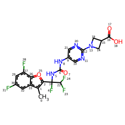 Cc1c(C(F)(NC(=O)Nc2cnc(N3CC(C(=O)O)C3)nc2)C(F)F)oc2c(F)cc(F)cc12